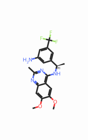 COc1cc2nc(C)nc(N[C@H](C)c3cc(N)cc(C(F)(F)F)c3)c2cc1OC